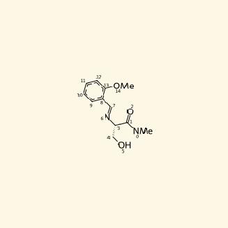 CNC(=O)[C@H](CO)/N=C/c1ccccc1OC